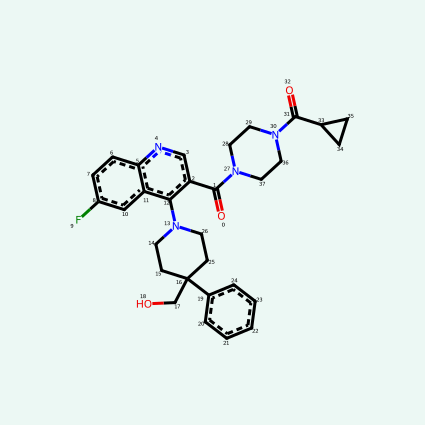 O=C(c1cnc2ccc(F)cc2c1N1CCC(CO)(c2ccccc2)CC1)N1CCN(C(=O)C2CC2)CC1